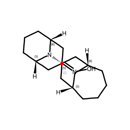 O/N=C1\C[C@H]2CCC[C@@H](C1)N2[C@@H]1C[C@@H]2CCCC[C@@H](C2)C1